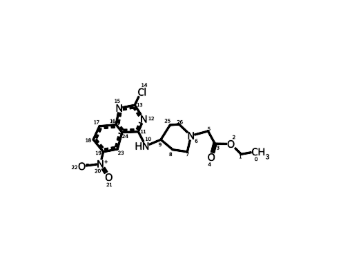 CCOC(=O)CN1CCC(Nc2nc(Cl)nc3ccc([N+](=O)[O-])cc23)CC1